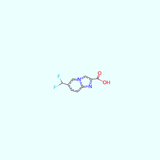 O=C(O)c1cn2cc(C(F)F)ccc2n1